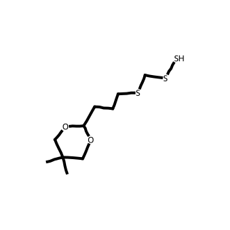 CC1(C)COC(CCCSCSS)OC1